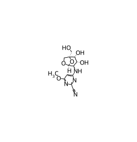 COc1cc(N[C@H]2[C@H]3OC[C@](CO)(O3)[C@H](O)[C@@H]2O)nc(C#N)n1